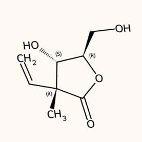 C=C[C@@]1(C)C(=O)O[C@H](CO)[C@H]1O